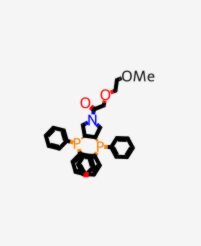 COCCOCC(=O)N1C[C@@H](P(c2ccccc2)c2ccccc2)[C@H](P(c2ccccc2)c2ccccc2)C1